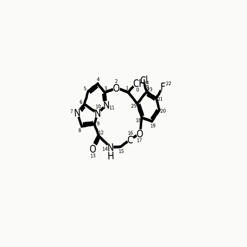 CC1Oc2ccc3ncc(n3n2)C(=O)NCCOc2ccc(F)c(Cl)c21